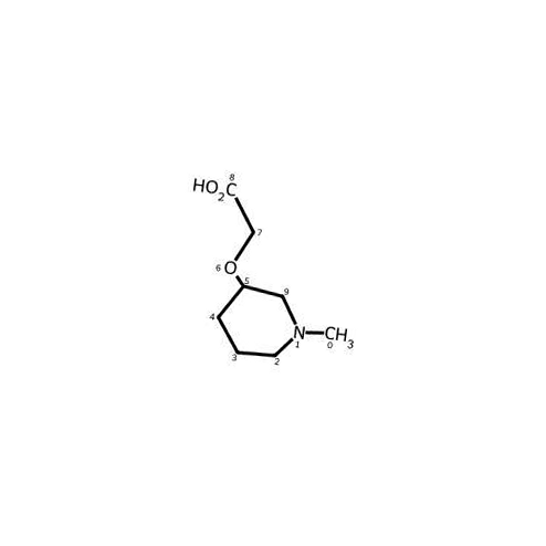 CN1CCCC(OCC(=O)O)C1